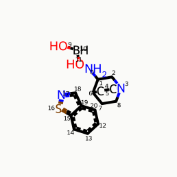 NC1CN2CCC1CC2.OBO.c1ccc2sncc2c1